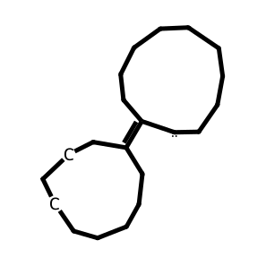 [C]1CCCCCCCCCC1=C1CCCCCCCCC1